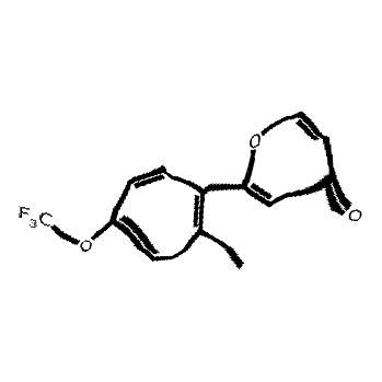 Cc1cc(OC(F)(F)F)ccc1-c1cc(=O)cco1